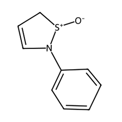 [O-][S+]1CC=CN1c1ccccc1